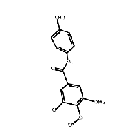 CCOc1c(Cl)cc(C(=O)Nc2ccc(C=O)cc2)cc1OC